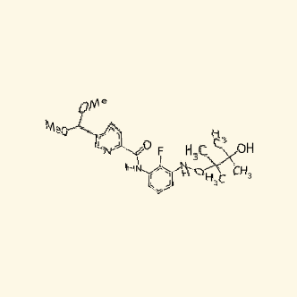 COC(OC)c1ccc(C(=O)Nc2cccc(NOC(C)(C)C(C)(C)O)c2F)nc1